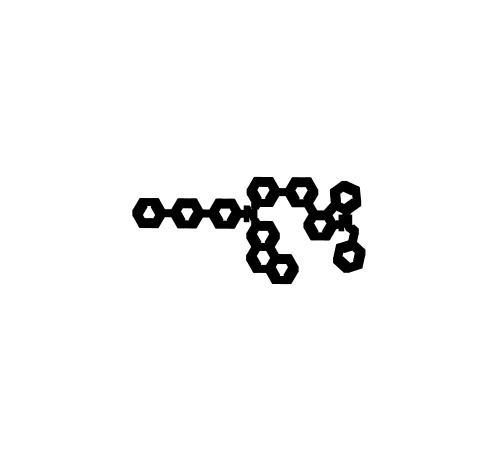 c1ccc(Cn2c3ccccc3c3c(-c4cccc(-c5cccc(N(c6ccc(-c7ccc(-c8ccccc8)cc7)cc6)c6ccc7c(ccc8ccccc87)c6)c5)c4)cccc32)cc1